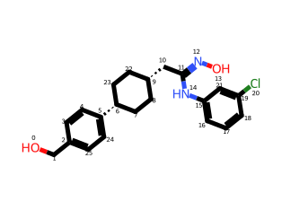 OCc1ccc([C@H]2CC[C@@H](C/C(=N/O)Nc3cccc(Cl)c3)CC2)cc1